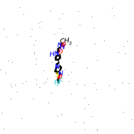 Cc1nc(CC(=O)N[C@H]2CC[C@H](CCN3CCc4nc(OCC(F)(F)F)sc4CC3)CC2)no1